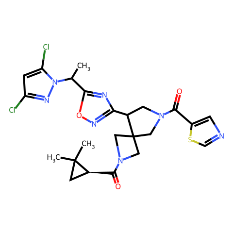 CC(c1nc(C2CN(C(=O)c3cncs3)CC23CN(C(=O)[C@H]2CC2(C)C)C3)no1)n1nc(Cl)cc1Cl